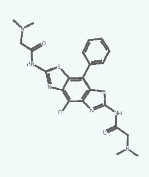 CN(C)CC(=O)Nc1nc2c(Cl)c3nc(NC(=O)CN(C)C)sc3c(-c3ccccc3)c2s1